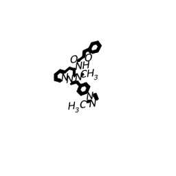 Cc1nccn1-c1ccc(-c2cnc(C(Cc3ccccn3)NC(=O)c3cc4ccccc4o3)n2C)cc1